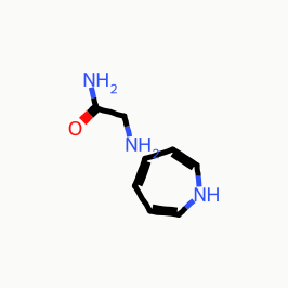 C1=CC=CNC=C1.NCC(N)=O